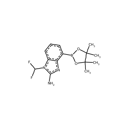 CC1(C)OB(c2cccc3c2nc(N)n3C(F)F)OC1(C)C